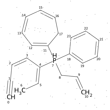 C#C/C=C\C(=C/C)[PH](CC=C)(C1=CC=CC=CC1)c1ccccc1